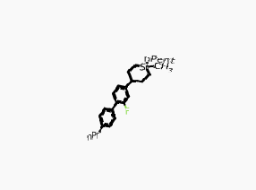 CCCCC[Si]1(C)CCC(c2ccc(-c3ccc(CCC)cc3)c(F)c2)CC1